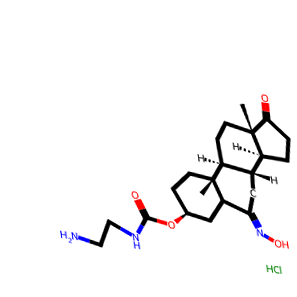 C[C@]12CC[C@H](OC(=O)NCCN)CC1/C(=N/O)C[C@@H]1[C@@H]2CC[C@]2(C)C(=O)CC[C@@H]12.Cl